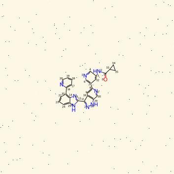 O=C(Nc1cncc(-c2cc3c(-c4nc5c(-c6ccccn6)cccc5[nH]4)n[nH]c3cn2)c1)C1CC1